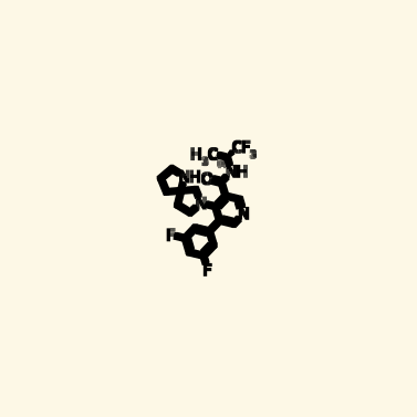 C[C@H](NC(=O)c1cncc(-c2cc(F)cc(F)c2)c1N1CCC2(CCCN2)C1)C(F)(F)F